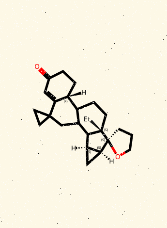 CC[C@]12CCC3C(CC4(CC4)C4=CC(=O)CC[C@@H]43)C1[C@@H]1C[C@@H]1[C@@]21CCCO1